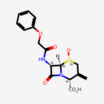 C=C1C[S@+]([O-])[C@@H]2[C@H](NC(=O)COc3ccccc3)C(=O)N2[C@H]1C(=O)O